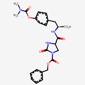 CN(C)C(=O)Oc1ccc(C[C@H](NC(=O)C2CN(C(=O)OCc3ccccc3)C(=O)N2)C(=O)O)cc1